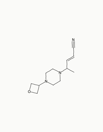 CC(C=CC#N)N1CCN(C2COC2)CC1